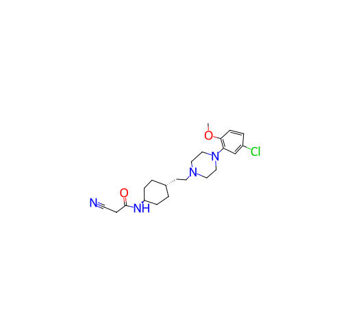 COc1ccc(Cl)cc1N1CCN(CC[C@H]2CC[C@H](NC(=O)CC#N)CC2)CC1